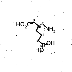 NC[C@H](CCCB(O)O)CC(=O)O